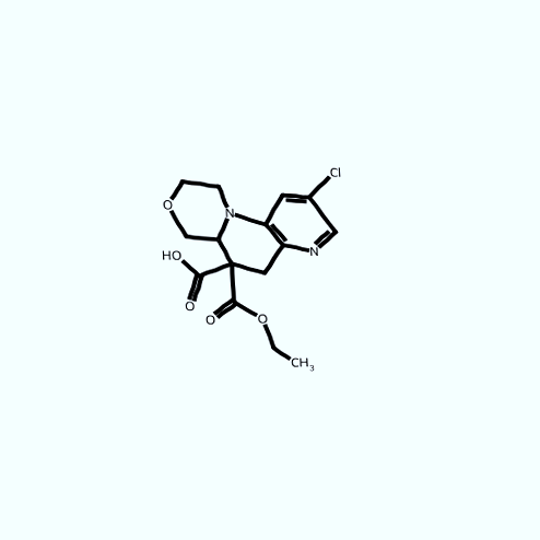 CCOC(=O)C1(C(=O)O)Cc2ncc(Cl)cc2N2CCOCC21